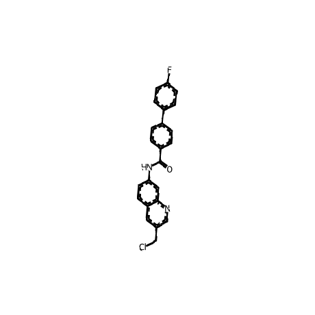 O=C(Nc1ccc2cc(CCl)cnc2c1)c1ccc(-c2ccc(F)cc2)cc1